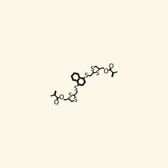 C=C(C)C(=O)OCC1CSC(CSc2ccc(SCC3SCC(COC(=O)C(=C)C)S3)c3ccccc23)S1